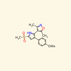 COc1ccc(-c2cc(S(C)(=O)=O)[nH]c2-c2c(C)noc2C)cc1